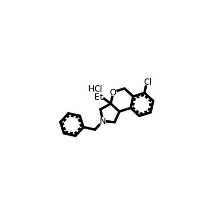 CCC12CN(Cc3ccccc3)CC1c1cccc(Cl)c1CO2.Cl